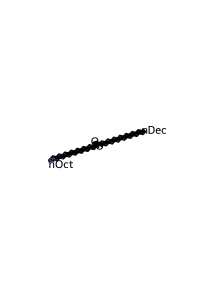 CCCCCCCC/C=C\CCCCCCCCCCCCCC(=O)OCCCCCCCCCCCCCCCCCCCCCCCC